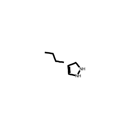 C1=CNNC1.CCCC